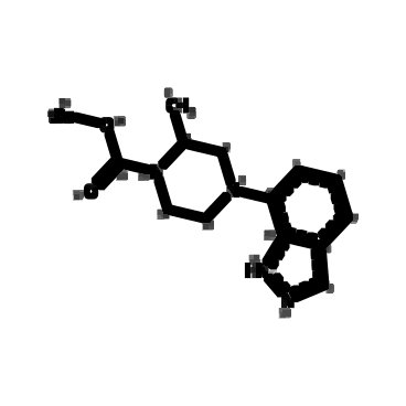 CC1CN(c2cccc3cn[nH]c23)CCN1C(=O)OC(C)(C)C